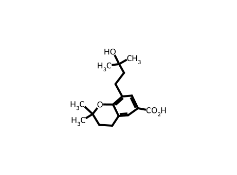 CC(C)(O)CCc1cc(C(=O)O)cc2c1OC(C)(C)CC2